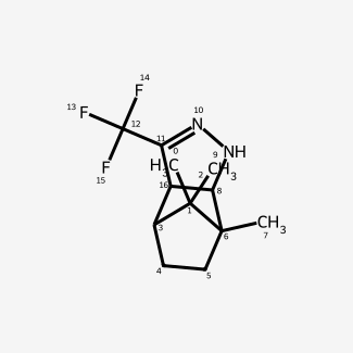 CC1(C)C2CCC1(C)C1NN=C(C(F)(F)F)C21